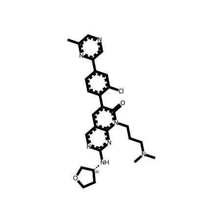 Cc1cncc(-c2ccc(-c3cc4cnc(N[C@@H]5CCOC5)nc4n(CCCN(C)C)c3=O)c(Cl)c2)n1